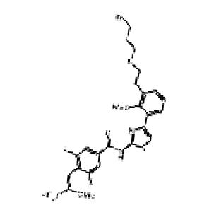 CO/C(=C\c1c(F)cc(C(=O)Nc2nc(-c3cccc(CCOCCCC(C)C)c3OC)cs2)cc1F)C(=O)O